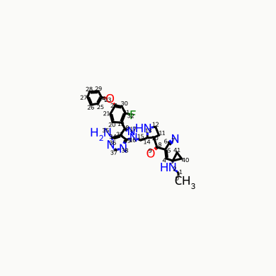 CCNC1(C=C(C#N)C(=O)C2CCNC2Cn2nc(-c3ccc(Oc4ccccc4)cc3F)c3c(N)ncnc32)CC1